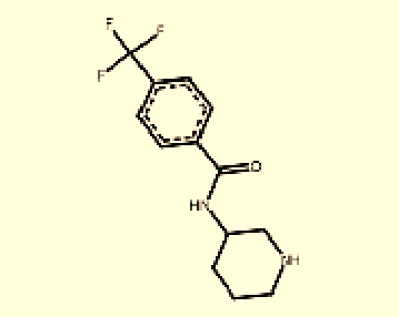 O=C(NC1CCCNC1)c1ccc(C(F)(F)F)cc1